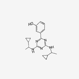 CC(Nc1nc(NC(C)C2CC2)nc(-c2cccc(O)c2)n1)C1CC1